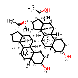 CC(=O)[C@H]1CC[C@H]2[C@@H]3CC[C@H]4C[C@H](O)CC[C@]4(C)[C@H]3CC[C@]12C.CC(O)[C@H]1CC[C@H]2[C@@H]3CC[C@H]4C[C@@H](O)CC[C@]4(C)[C@H]3CC[C@]12C